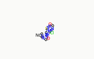 Cc1ccc(CN2CCN(c3ncccc3Cl)CC2)cc1C(=O)N1CCN(c2nc(-c3ccc4c(c3)nc3n4CCN(C(=O)c4cc(CN5CCN(c6ccccc6C#N)CC5)ccc4C)C3)cs2)CC1